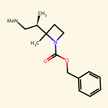 CNC[C@@H](C)C1(C)CCN1C(=O)OCc1ccccc1